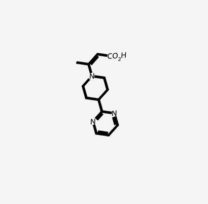 C/C(=C/C(=O)O)N1CCC(c2ncccn2)CC1